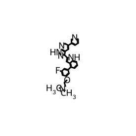 CN(C)CCOc1cc(F)cc(-c2cccc3[nH]c(-c4n[nH]c5ncc(-c6cccnc6)cc45)cc23)c1